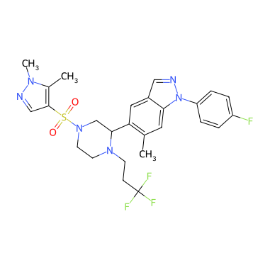 Cc1cc2c(cnn2-c2ccc(F)cc2)cc1C1CN(S(=O)(=O)c2cnn(C)c2C)CCN1CCC(F)(F)F